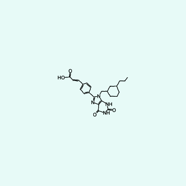 CCCC1CCCC(Cn2c(-c3ccc(/C=C/C(=O)O)cc3)nc3c(=O)[nH]c(=O)[nH]c32)C1